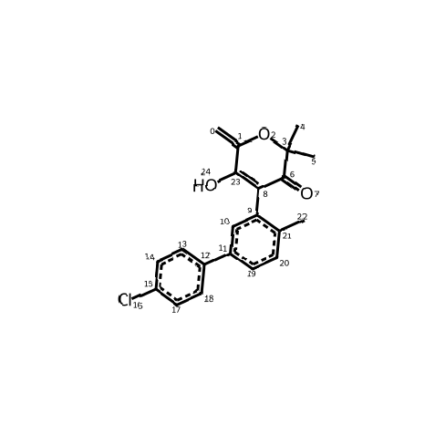 C=C1OC(C)(C)C(=O)C(c2cc(-c3ccc(Cl)cc3)ccc2C)=C1O